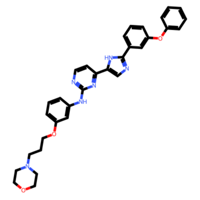 c1ccc(Oc2cccc(-c3ncc(-c4ccnc(Nc5cccc(OCCCN6CCOCC6)c5)n4)[nH]3)c2)cc1